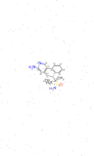 C[C@@H](CC(C)(C)[S+](N)[O-])c1cc(N)ncc1-c1ccccc1